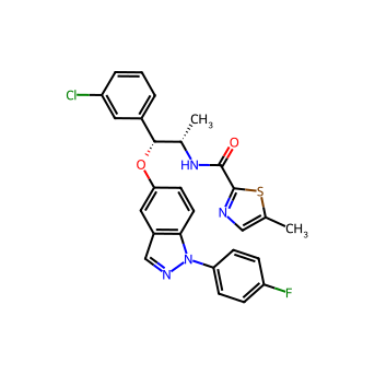 Cc1cnc(C(=O)N[C@@H](C)[C@H](Oc2ccc3c(cnn3-c3ccc(F)cc3)c2)c2cccc(Cl)c2)s1